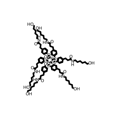 O=C(CCc1ccc(OP2(Oc3ccc(CCC(=O)NCCCCCCO)cc3)=NP(Oc3ccc(CCC(=O)NCCCCCCO)cc3)(Oc3ccc(CCC(=O)NCCCCCCO)cc3)=NP(Oc3ccc(CCC(=O)NCCCCCCO)cc3)(Oc3ccc(CCC(=O)NCCCCCCO)cc3)=N2)cc1)NCCCCCCO